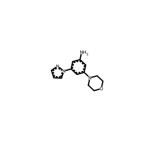 Nc1cc(N2CCOCC2)cc(-n2cccn2)c1